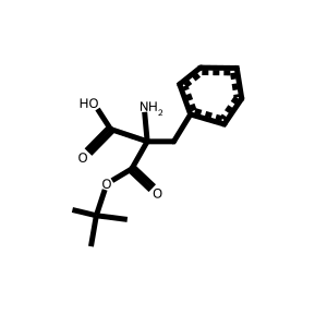 CC(C)(C)OC(=O)C(N)(Cc1ccccc1)C(=O)O